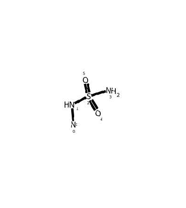 [N]NS(N)(=O)=O